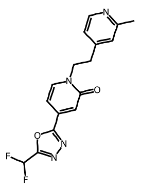 Cc1cc(CCn2ccc(-c3nnc(C(F)F)o3)cc2=O)ccn1